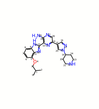 CC(C)COc1cccc2[nH]c(-c3nc(-c4cnn(C5CCNCC5)c4)cnc3N)nc12